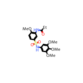 CCC(=O)Nc1cc(S(=O)(=O)Nc2cc(OC)c(OC)c(OC)c2)ccc1OC